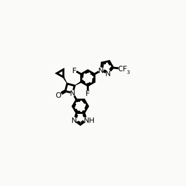 O=C1[C@@H](C2CC2)[C@@H](c2c(F)cc(-n3ccc(C(F)(F)F)n3)cc2F)N1c1ccc2[nH]cnc2c1